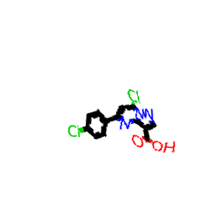 O=C(O)c1cnn2c(Cl)cc(-c3ccc(Cl)cc3)nc12